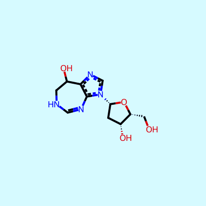 OC[C@H]1O[C@@H](n2cnc3c2N=CNCC3O)C[C@H]1O